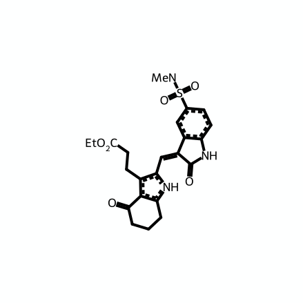 CCOC(=O)CCc1c(C=C2C(=O)Nc3ccc(S(=O)(=O)NC)cc32)[nH]c2c1C(=O)CCC2